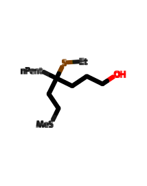 CCCCCC(CCCO)(CCSC)SCC